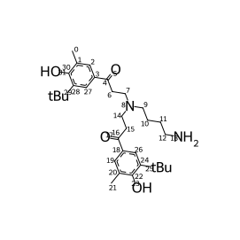 Cc1cc(C(=O)CCN(CCCCN)CCC(=O)c2cc(C)c(O)c(C(C)(C)C)c2)cc(C(C)(C)C)c1O